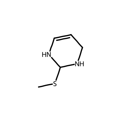 CSC1NC=CCN1